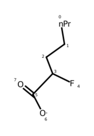 CCCCCC(F)C([O])=O